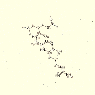 CC(=O)SCC(CC(C)C)C(=O)N[C@@H](C)C(=O)N[C@@H](CCCNC(=N)N)C(=O)O